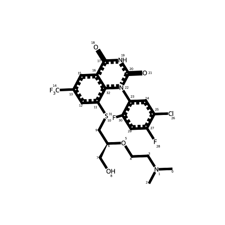 CN(C)CCO[C@@H](CO)CSc1cc(C(F)(F)F)cc2c(=O)[nH]c(=O)n(-c3cc(Cl)c(F)cc3F)c12